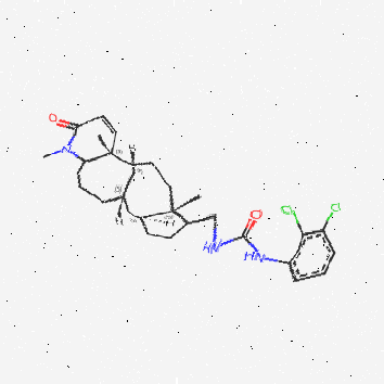 CN1C(=O)C=C[C@@]2(C)C1CC[C@@H]1[C@H]2CC[C@]2(C)C(CNC(=O)Nc3cccc(Cl)c3Cl)CC[C@@H]12